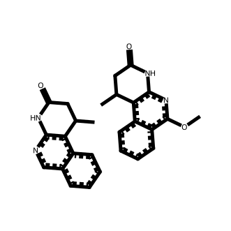 CC1CC(=O)Nc2ncc3ccccc3c21.COc1nc2c(c3ccccc13)C(C)CC(=O)N2